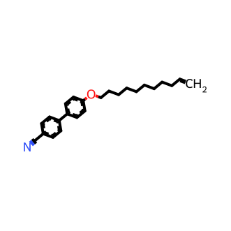 C=CCCCCCCCCCOc1ccc(-c2ccc(C#N)cc2)cc1